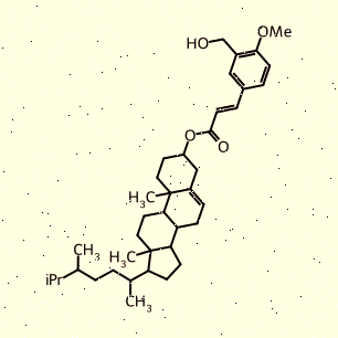 COc1ccc(/C=C/C(=O)OC2CCC3(C)C(=CCC4C3CCC3(C)C(C(C)CCC(C)C(C)C)CCC43)C2)cc1CO